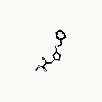 COC(=O)C(Br)C[C@@H]1CCC(OCc2ccccc2)C1